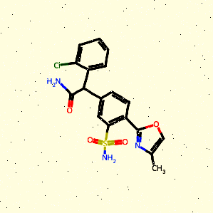 Cc1coc(-c2ccc(C(C(N)=O)c3ccccc3Cl)cc2S(N)(=O)=O)n1